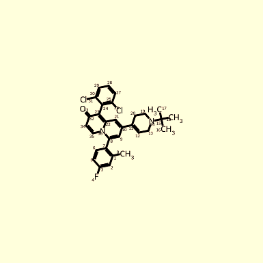 Cc1cc(F)ccc1-c1cc(C2=CCN(C(C)(C)C)CC2)cc2c(-c3c(Cl)cccc3Cl)c(=O)ccn12